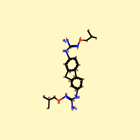 CC(C)CON=C(N)Nc1ccc2c(c1)Cc1cc(NC(N)=NOCC(C)C)ccc1-2